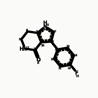 O=C1NCCc2[nH]cc(-c3ccc(F)cc3)c21